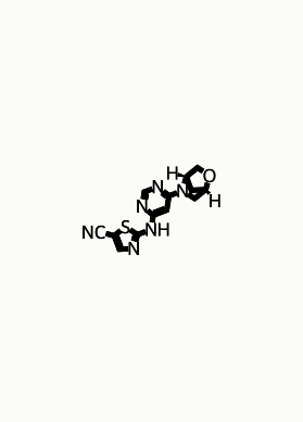 N#Cc1cnc(Nc2cc(N3C[C@@H]4C[C@H]3CO4)ncn2)s1